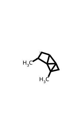 C[C]1[C]C2C34CC3(C)C124